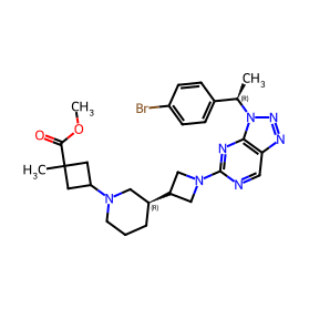 COC(=O)C1(C)CC(N2CCC[C@H](C3CN(c4ncc5nnn([C@H](C)c6ccc(Br)cc6)c5n4)C3)C2)C1